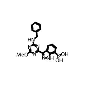 COc1nc(NCc2ccccc2)nc(-c2n[nH]c3c(B(O)O)cccc23)n1